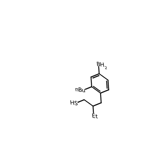 Bc1ccc(CC(CC)CS)c(CCCC)c1